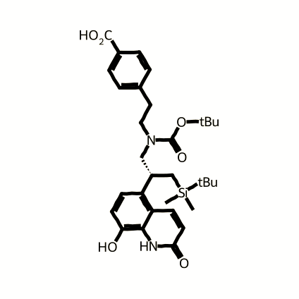 CC(C)(C)OC(=O)N(CCc1ccc(C(=O)O)cc1)C[C@H](C[Si](C)(C)C(C)(C)C)c1ccc(O)c2[nH]c(=O)ccc12